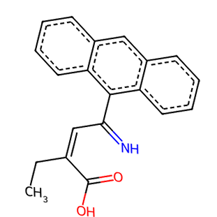 CCC(=CC(=N)c1c2ccccc2cc2ccccc12)C(=O)O